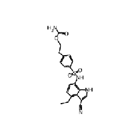 CCc1ccc(NS(=O)(=O)c2ccc(CCOC(N)=O)cc2)c2[nH]cc(C#N)c12